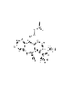 CN(C)CCCN1c2ccccc2CC(=O)c2ccccc21.O=C(O)/C=C/C(=O)O